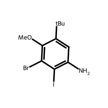 COc1c(C(C)(C)C)cc(N)c(I)c1Br